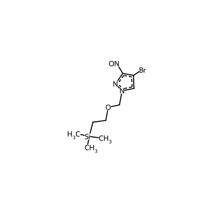 C[Si](C)(C)CCOCn1cc(Br)c(N=O)n1